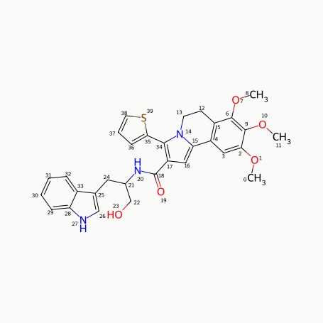 COc1cc2c(c(OC)c1OC)CCn1c-2cc(C(=O)NC(CO)Cc2c[nH]c3ccccc23)c1-c1cccs1